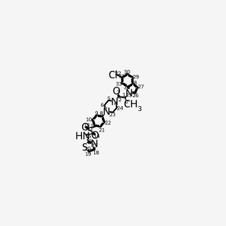 C[C@@H](C(=O)N1CCN(c2ccc(S(=O)(=O)Nc3nccs3)cc2)CC1)n1ccc2ccc(Cl)cc21